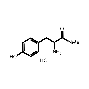 CNC(=O)C(N)Cc1ccc(O)cc1.Cl